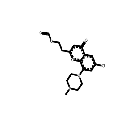 CN1CCN(c2cc(Cl)cc3c(=O)cc(CCOC=O)oc23)CC1